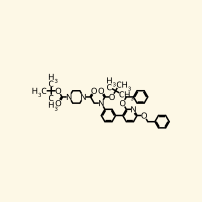 CC(C)(C)OC(=O)N1CCN(C(=O)CN(C(=O)OC(C)(C)C)c2cccc(-c3ccc(OCc4ccccc4)nc3OCc3ccccc3)c2)CC1